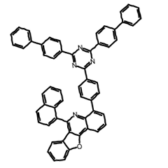 c1ccc(-c2ccc(-c3nc(-c4ccc(-c5ccccc5)cc4)nc(-c4ccc(-c5cccc6c5nc(-c5cccc7ccccc57)c5c7ccccc7oc65)cc4)n3)cc2)cc1